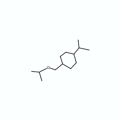 CC(C)OCC1CCC(C(C)C)CC1